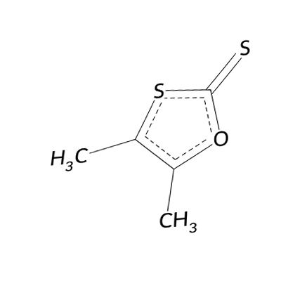 Cc1oc(=S)sc1C